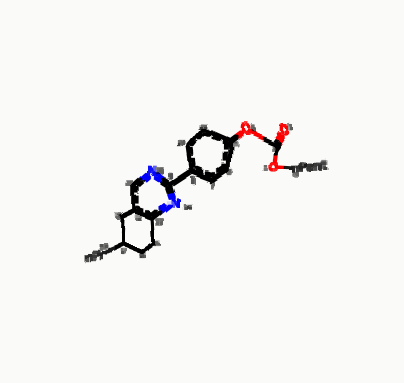 CCCCCOC(=O)Oc1ccc(-c2ncc3c(n2)CCC(CCC)C3)cc1